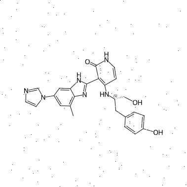 Cc1cc(-n2ccnc2)cc2[nH]c(-c3c(N[C@H](CO)Cc4ccc(O)cc4)cc[nH]c3=O)nc12